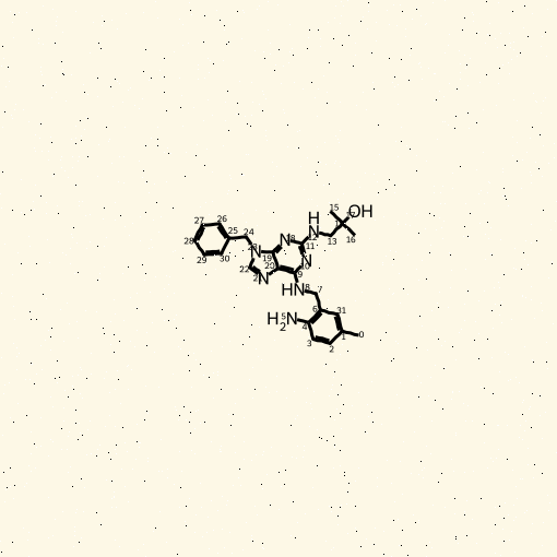 Cc1ccc(N)c(CNc2nc(NCC(C)(C)O)nc3c2ncn3Cc2ccccc2)c1